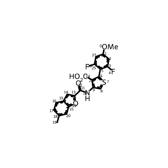 COc1cc(F)c(-c2scc(NC(=O)c3cc4ccc(C)cc4o3)c2C(=O)O)c(F)c1